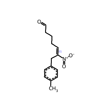 Cc1ccc(C/C(=C\CCCC=O)[N+](=O)[O-])cc1